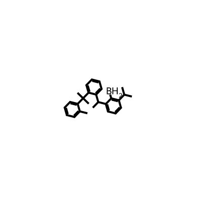 Bc1c(C(C)C)cccc1C(C)c1ccccc1C(C)(C)c1ccccc1C